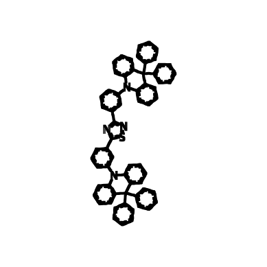 c1ccc(C2(c3ccccc3)c3ccccc3N(c3cccc(-c4nsc(-c5cccc(N6c7ccccc7C(c7ccccc7)(c7ccccc7)c7ccccc76)c5)n4)c3)c3ccccc32)cc1